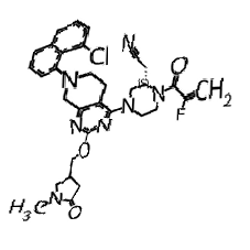 C=C(F)C(=O)N1CCN(c2nc(OCC3CC(=O)N(C)C3)nc3c2CCN(c2cccc4cccc(Cl)c24)C3)C[C@@H]1CC#N